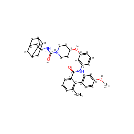 Cc1cccc(C(=O)Nc2cccc(OC3CCN(C(=O)NC45CC6CC(CC(C6)C4)C5)CC3)c2)c1-c1ccc(OC(F)(F)F)cc1